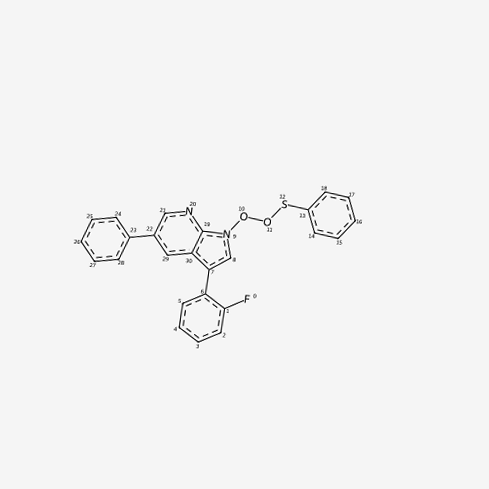 Fc1ccccc1-c1cn(OOSc2ccccc2)c2ncc(-c3ccccc3)cc12